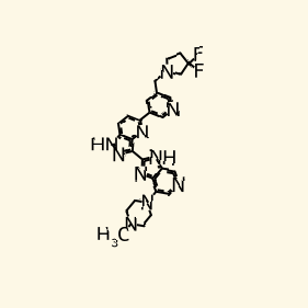 CN1CCN(c2cncc3[nH]c(-c4n[nH]c5ccc(-c6cncc(CN7CCC(F)(F)C7)c6)nc45)nc23)CC1